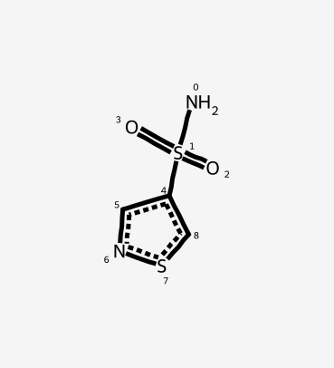 NS(=O)(=O)c1cnsc1